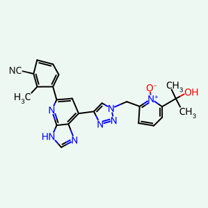 Cc1c(C#N)cccc1-c1cc(-c2cn(Cc3cccc(C(C)(C)O)[n+]3[O-])nn2)c2nc[nH]c2n1